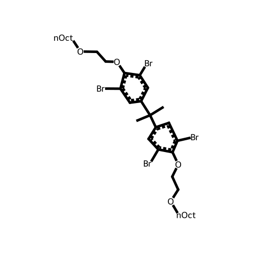 CCCCCCCCOCCOc1c(Br)cc(C(C)(C)c2cc(Br)c(OCCOCCCCCCCC)c(Br)c2)cc1Br